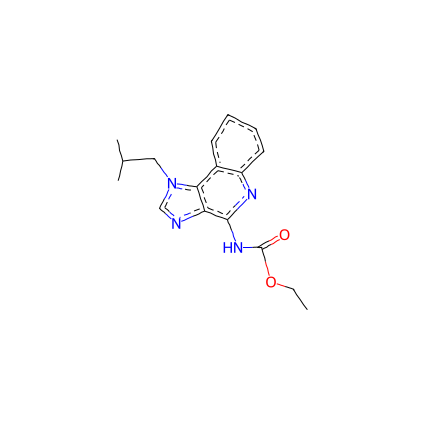 CCOC(=O)Nc1nc2ccccc2c2c1ncn2CC(C)C